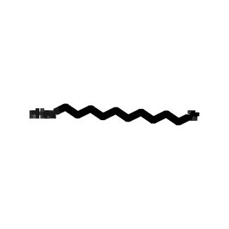 CCCCCCCCCCCCCCC[CH2][Zr]